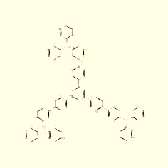 c1ccc(N(c2ccccc2)c2ccc(-c3ccc(-c4cc(-c5ccc(-c6cccc(N(c7ccccc7)c7ccccc7)c6)cc5)cc(-c5ccc(-c6cccc(N(c7ccccc7)c7ccccc7)c6)cc5)c4)cc3)cc2)cc1